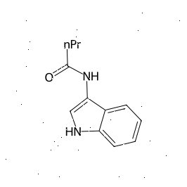 CCCC(=O)Nc1c[nH]c2ccccc12